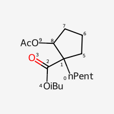 CCCCCC1(C(=O)OCC(C)C)CCCC1OC(C)=O